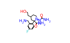 NCc1cc(F)ccc1C1(C(N)=O)CC(CCO)CCN1NC(N)=O